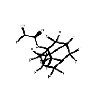 CCC(I)C(=O)OC12C(F)(F)C3C(F)(F)C(F)(C(F)(F)C(F)(C3(F)F)C1(F)F)C2(F)F